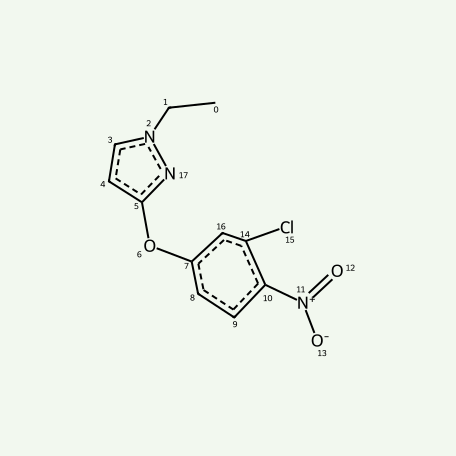 CCn1ccc(Oc2ccc([N+](=O)[O-])c(Cl)c2)n1